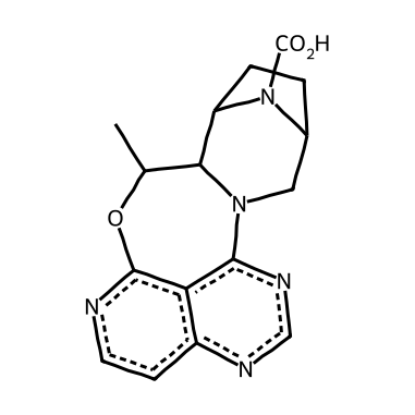 CC1Oc2nccc3ncnc(c23)N2CC3CCC(C12)N3C(=O)O